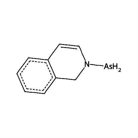 [AsH2]N1C=Cc2ccccc2C1